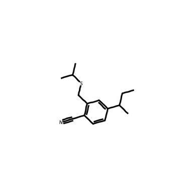 CCC(C)c1ccc(C#N)c(CSC(C)C)c1